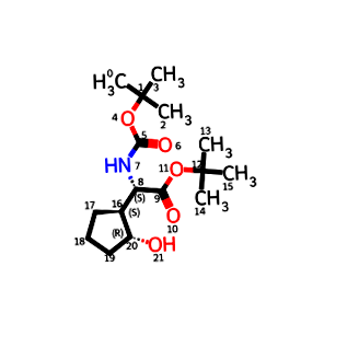 CC(C)(C)OC(=O)N[C@H](C(=O)OC(C)(C)C)[C@@H]1CCC[C@H]1O